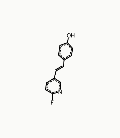 Oc1ccc(C=Cc2ccc(F)nc2)cc1